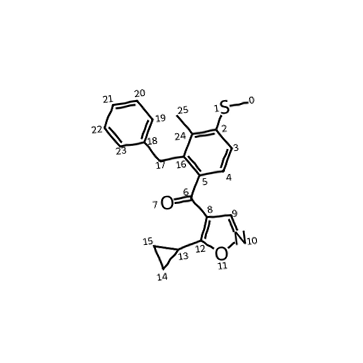 CSc1ccc(C(=O)c2cnoc2C2CC2)c(Cc2ccccc2)c1C